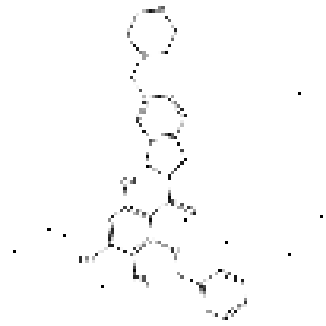 Cc1c(O)cc(O)c(C(=O)N2Cc3ccc(CN4CCOCC4)cc3C2)c1OCc1ccccc1